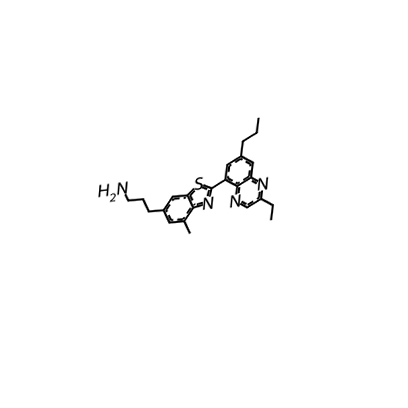 CCCc1cc(-c2nc3c(C)cc(CCCN)cc3s2)c2ncc(CC)nc2c1